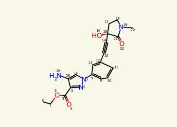 CCOC(=O)c1nn(-c2cccc(C#C[C@]3(O)CCN(C)C3=O)c2)cc1N